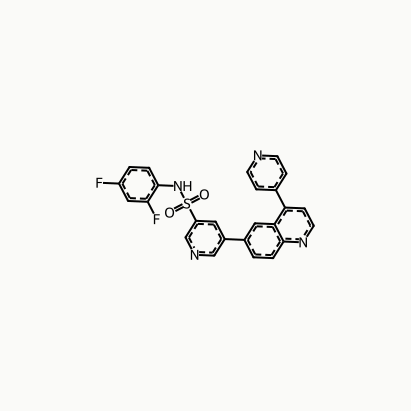 O=S(=O)(Nc1ccc(F)cc1F)c1cncc(-c2ccc3nccc(-c4ccncc4)c3c2)c1